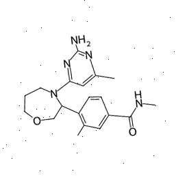 CNC(=O)c1ccc(C2COCCCN2c2cc(C)nc(N)n2)c(C)c1